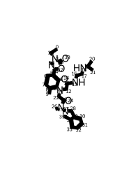 CCn1nc(-c2ccc(C)c(N(CC(=O)NCCNC(C)C)CC(=O)N(C)N3Cc4ccccc4C3)c2)oc1=O